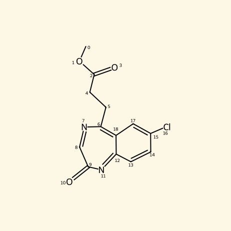 COC(=O)CCc1ncc(=O)nc2ccc(Cl)cc12